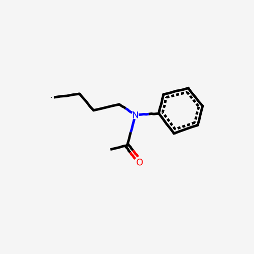 [CH2]CCCN(C(C)=O)c1ccccc1